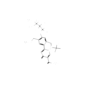 CCC(C)(C)N1Cc2cc(OC(O)(O)C(O)(O)C(O)(O)OC)c(COC)cc2-c2cc(=O)c(C(=O)OC)cn21